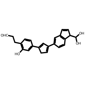 O=CCCc1ccc(C2=CC(c3ccc4c(c3)C=CC4C(O)O)=CC2)cc1O